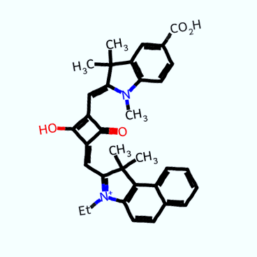 CC[N+]1=C(C=C2C(=O)C(C=C3N(C)c4ccc(C(=O)O)cc4C3(C)C)=C2O)C(C)(C)c2c1ccc1ccccc21